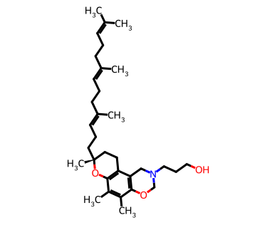 CC(C)=CCC/C(C)=C/CC/C(C)=C/CC[C@]1(C)CCc2c3c(c(C)c(C)c2O1)OCN(CCCO)C3